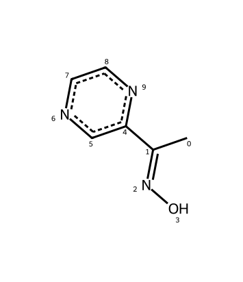 C/C(=N\O)c1cnccn1